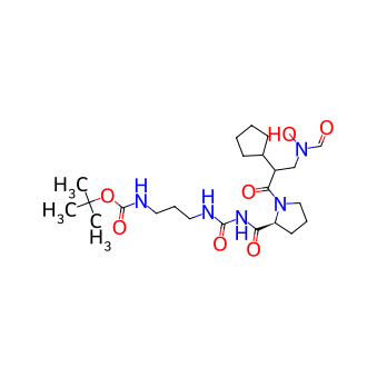 CC(C)(C)OC(=O)NCCCNC(=O)NC(=O)[C@@H]1CCCN1C(=O)C(CN(O)C=O)C1CCCC1